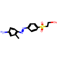 Cc1cc(N)ccc1N=Nc1ccc(S(=O)(=O)CCO)cc1